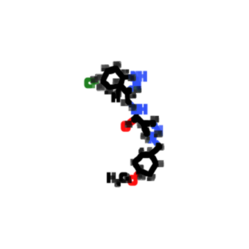 CO[C@H]1CC=C(Cn2cc(C(=O)NCC3=NNC4C=C[C@@H](Cl)C[C@@H]34)cn2)CC1